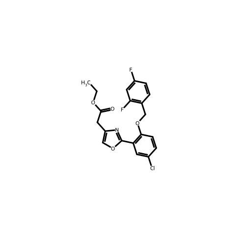 CCOC(=O)Cc1coc(-c2cc(Cl)ccc2OCc2ccc(F)cc2F)n1